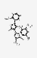 CCOc1nc(-c2c(CC)nn(-c3ccccc3OC)c2Nc2ccc(Cl)cc2C(=O)O)sc1C